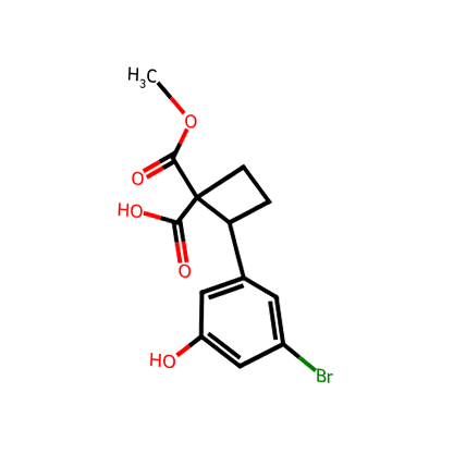 COC(=O)C1(C(=O)O)CCC1c1cc(O)cc(Br)c1